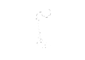 CC/C=C\C/C=C\C/C=C\C/C=C\C/C=C\C/C=C\CC(=O)NCCSSCCNC(=O)CCNC(=O)[C@H](OI)C(C)(C)COC(C)(C)SS